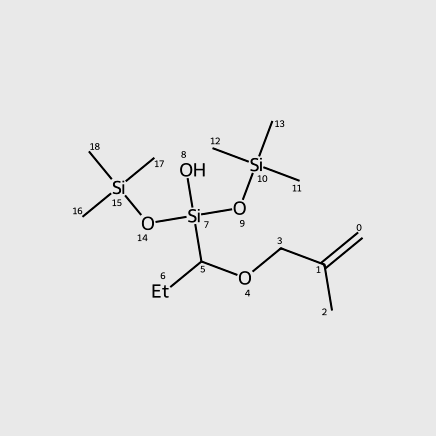 C=C(C)COC(CC)[Si](O)(O[Si](C)(C)C)O[Si](C)(C)C